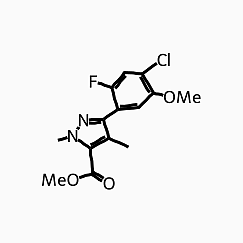 COC(=O)c1c(C)c(-c2cc(OC)c(Cl)cc2F)nn1C